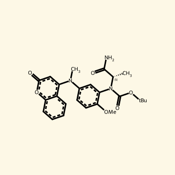 COc1ccc(N(C)c2cc(=O)oc3ccccc23)cc1N(C(=O)OC(C)(C)C)[C@@H](C)C(N)=O